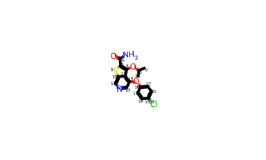 CC(C)Oc1c(C(N)=O)sc2cncc(Oc3ccc(Cl)cc3)c12